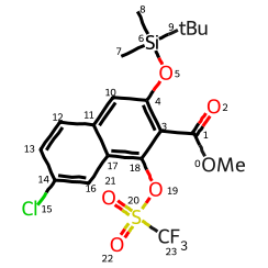 COC(=O)c1c(O[Si](C)(C)C(C)(C)C)cc2ccc(Cl)cc2c1OS(=O)(=O)C(F)(F)F